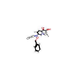 CN1C[C@H](N(C=O)OCc2ccccc2)CC[C@H]1C(=O)BO